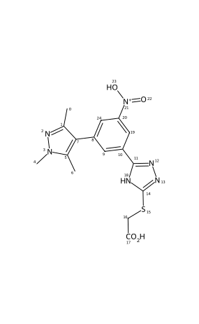 Cc1nn(C)c(C)c1-c1cc(-c2nnc(SCC(=O)O)[nH]2)cc([N+](=O)O)c1